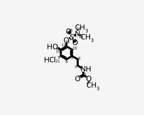 COC(=O)NCCc1ccc(O)c(OS(=O)(=O)N(C)C)c1.Cl